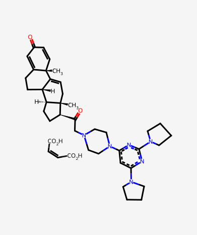 C[C@]12C=CC(=O)C=C1CC[C@@H]1C2=CC[C@]2(C)[C@@H](C(=O)CN3CCN(c4cc(N5CCCC5)nc(N5CCCC5)n4)CC3)CC[C@@H]12.O=C(O)/C=C\C(=O)O